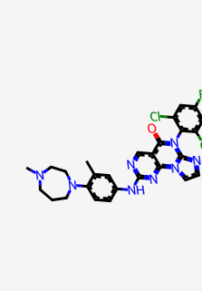 Cc1cc(Nc2ncc3c(=O)n(-c4c(Cl)cc(F)cc4Cl)c4nccn4c3n2)ccc1N1CCCN(C)CC1